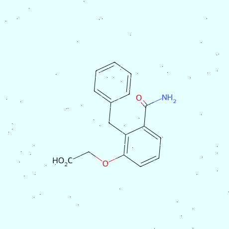 NC(=O)c1cccc(OCC(=O)O)c1Cc1ccccc1